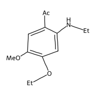 CCNc1cc(OCC)c(OC)cc1C(C)=O